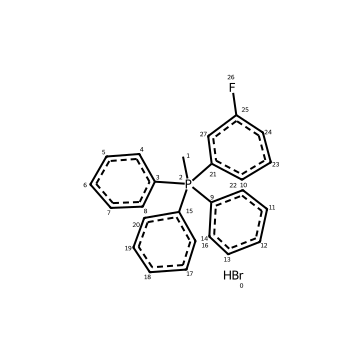 Br.CP(c1ccccc1)(c1ccccc1)(c1ccccc1)c1cccc(F)c1